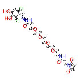 O=C(CCN1C(=O)C=CC1=O)NCCOCCOCCOCCOCCC(=O)NN=Cc1c(Cl)cc(O)c(O)c1Cl